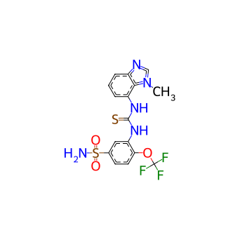 Cn1cnc2cccc(NC(=S)Nc3cc(S(N)(=O)=O)ccc3OC(F)(F)F)c21